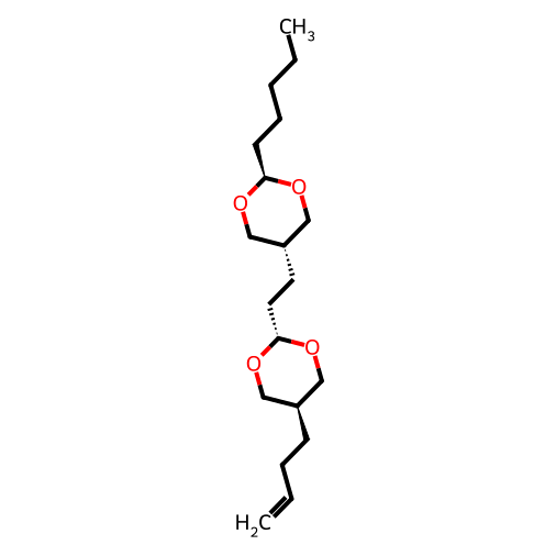 C=CCC[C@H]1CO[C@H](CC[C@H]2CO[C@H](CCCCC)OC2)OC1